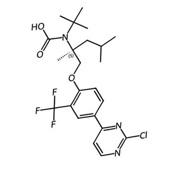 CC(C)C[C@@](C)(COc1ccc(-c2ccnc(Cl)n2)cc1C(F)(F)F)N(C(=O)O)C(C)(C)C